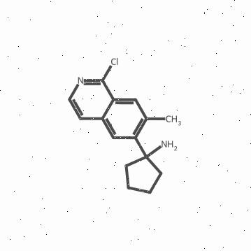 Cc1cc2c(Cl)nccc2cc1C1(N)CCCC1